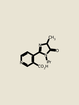 CC1N=C(c2ccncc2C(=O)O)N(C(C)C)C1=O